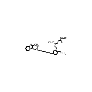 C=Cc1ccc(CCCCCCCNCc2c(C)nc3ccccn23)cc1CCC(C=O)CCC(=O)NC